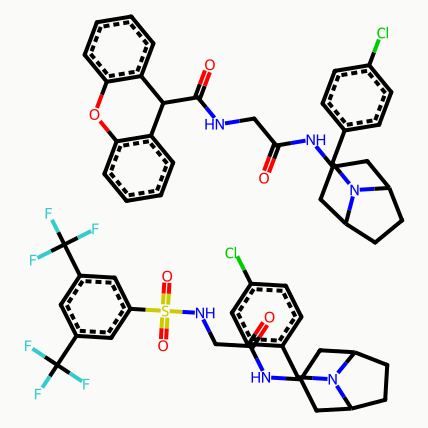 O=C(CNC(=O)C1c2ccccc2Oc2ccccc21)NC1CC2CCC(C1)N2Cc1ccc(Cl)cc1.O=C(CNS(=O)(=O)c1cc(C(F)(F)F)cc(C(F)(F)F)c1)NC1CC2CCC(C1)N2Cc1ccc(Cl)cc1